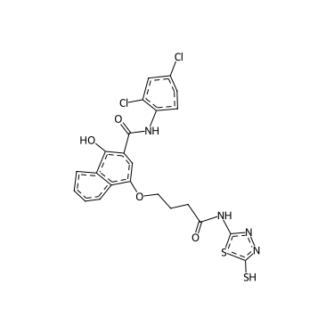 O=C(CCCOc1cc(C(=O)Nc2ccc(Cl)cc2Cl)c(O)c2ccccc12)Nc1nnc(S)s1